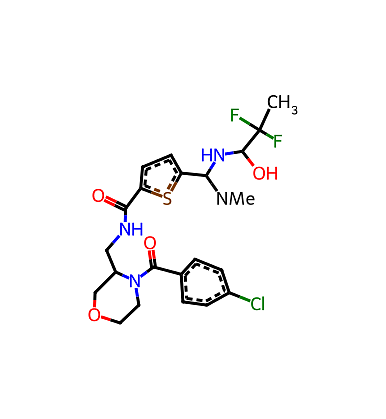 CNC(NC(O)C(C)(F)F)c1ccc(C(=O)NCC2COCCN2C(=O)c2ccc(Cl)cc2)s1